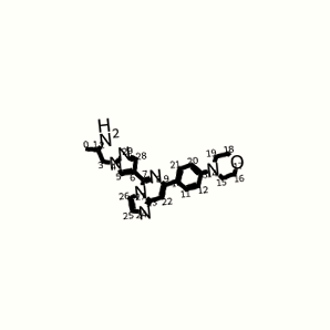 CC(N)Cn1cc(-c2nc(-c3ccc(N4CCOCC4)cc3)cc3nccn23)cn1